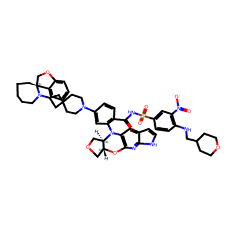 O=C(NS(=O)(=O)c1ccc(NCC2CCOCC2)c([N+](=O)[O-])c1)c1ccc(N2CCC3(CC2)CC(N2CCCCC[C@]24COc2ccccc24)C3)cc1N1c2cc3cc[nH]c3nc2O[C@@H]2COC[C@H]21